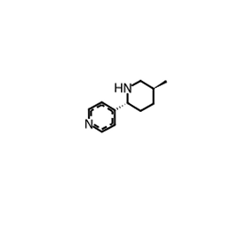 C[C@H]1CC[C@H](c2ccncc2)NC1